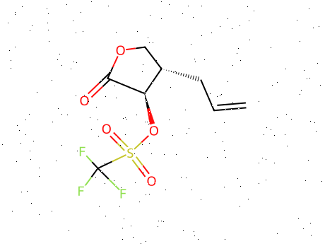 C=CC[C@H]1COC(=O)[C@@H]1OS(=O)(=O)C(F)(F)F